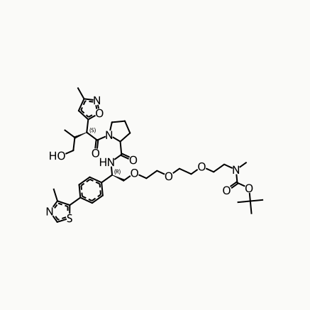 Cc1cc([C@@H](C(=O)N2CCCC2C(=O)N[C@@H](COCCOCCOCCN(C)C(=O)OC(C)(C)C)c2ccc(-c3scnc3C)cc2)C(C)CO)on1